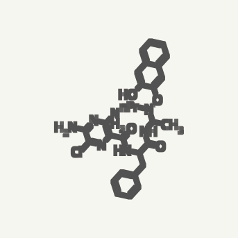 CCCN(Oc1cc2ccccc2cc1O)C(C)NC(=O)C(Cc1ccccc1)NC(=O)c1nc(Cl)c(N)nc1N